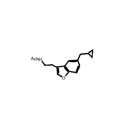 CC(=O)NCCc1coc2ccc(CC3CC3)cc12